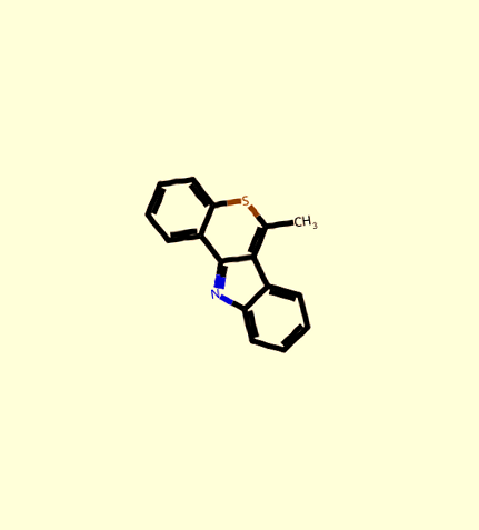 Cc1sc2ccccc2c2nc3ccccc3c1-2